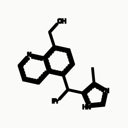 Cc1nc[nH]c1C(c1ccc(CO)c2ncccc12)C(C)C